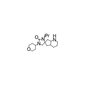 CC(C)N1C(=O)N(C2CCOCC2)CC12CC1CCCNC1C2